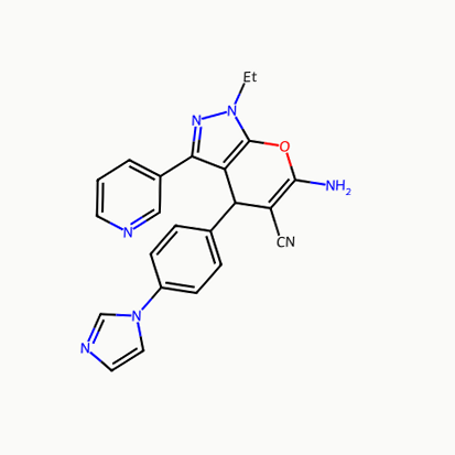 CCn1nc(-c2cccnc2)c2c1OC(N)=C(C#N)C2c1ccc(-n2ccnc2)cc1